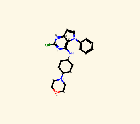 Clc1nc(N[C@H]2CC[C@H](N3CCOCC3)CC2)c2c(ccn2-c2ccccc2)n1